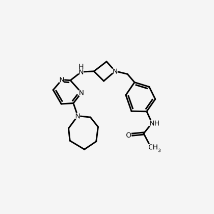 CC(=O)Nc1ccc(CN2CC(Nc3nccc(N4CCCCCC4)n3)C2)cc1